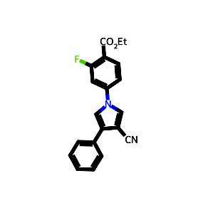 CCOC(=O)c1ccc(-n2cc(C#N)c(-c3ccccc3)c2)cc1F